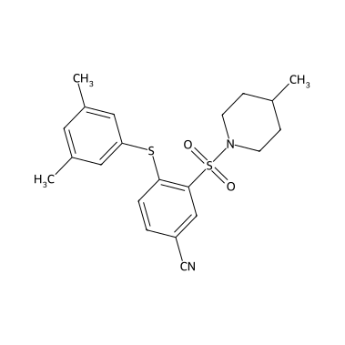 Cc1cc(C)cc(Sc2ccc(C#N)cc2S(=O)(=O)N2CCC(C)CC2)c1